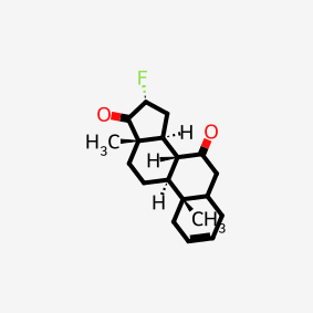 C[C@]12CC=CCC1CC(=O)[C@@H]1[C@@H]2CC[C@]2(C)C(=O)[C@H](F)C[C@@H]12